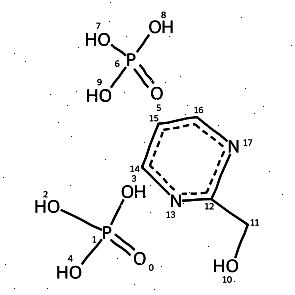 O=P(O)(O)O.O=P(O)(O)O.OCc1ncccn1